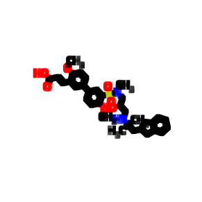 COc1ccc(-c2ccc(OC)c(S(=O)(=O)N(C)C[C@H](O)CNC(C)(C)CC3Cc4ccccc4C3)c2)cc1/C=C/C(=O)O